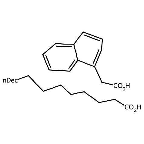 CCCCCCCCCCCCCCCCCC(=O)O.O=C(O)Cc1cccc2ccccc12